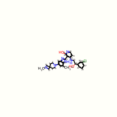 Cc1cc(N2CCC3(CC2)CN(C)C3)cc2nc(-c3c(NC[C@H](O)c4cccc(Cl)c4)ccnc3O)[nH]c12